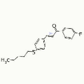 CCCCCSc1ccc(/C=C/C(=O)c2ccc(F)cc2)cc1